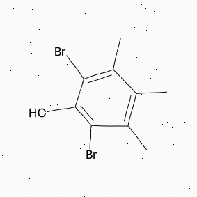 Cc1c(C)c(Br)c(O)c(Br)c1C